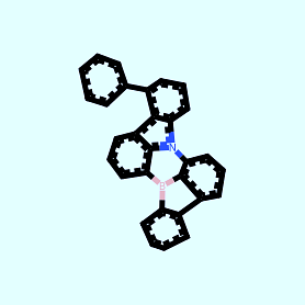 c1ccc(-c2cccc3c2c2cccc4c2n3-c2cccc3c2B4c2ccccc2-3)cc1